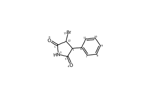 O=C1NC(=O)C(c2ccccc2)C1Br